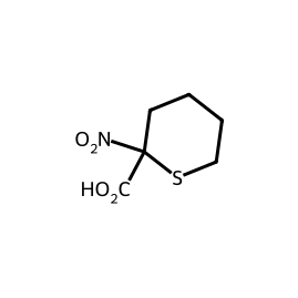 O=C(O)C1([N+](=O)[O-])CCCCS1